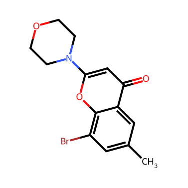 Cc1cc(Br)c2oc(N3CCOCC3)cc(=O)c2c1